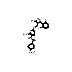 Cc1nc(OCC2C(c3c(Cl)cccc3Cl)=NOC2C(C)C)ccc1NC(=O)c1ccc(C(=O)O)cc1